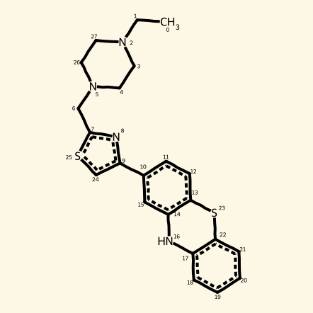 CCN1CCN(Cc2nc(-c3ccc4c(c3)Nc3ccccc3S4)cs2)CC1